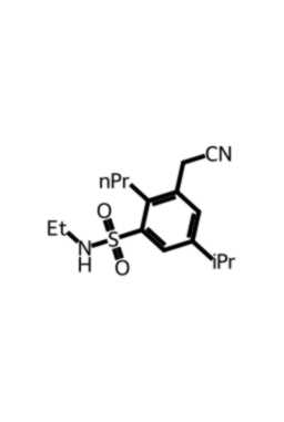 CCCc1c(CC#N)cc(C(C)C)cc1S(=O)(=O)NCC